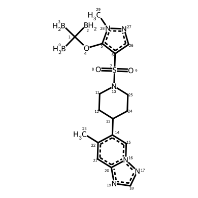 BC(B)(B)Oc1c(S(=O)(=O)N2CCC(c3cn4ncnc4cc3C)CC2)cnn1C